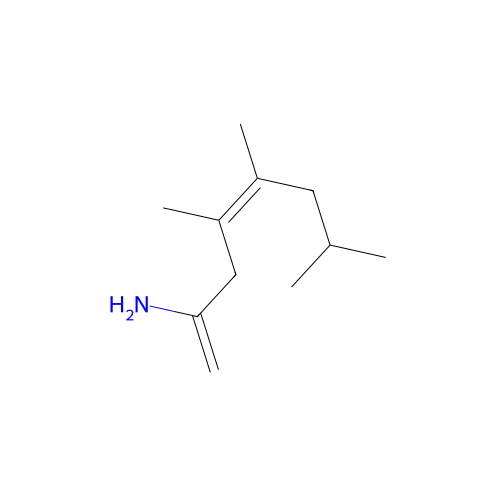 C=C(N)C/C(C)=C(/C)CC(C)C